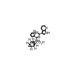 N=C(/N=C(/N[C@H]1[C@@H]2CC[C@@H]([C@@H]3C[C@@H]32)[C@@H]1C(=O)O)c1ccc[nH]1)c1c[nH]c2ncccc12